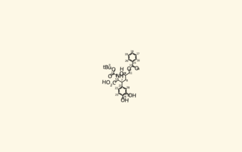 CC(C)(C)OC(=O)N[C@H](C(=O)O)C(CC(O)COC(=O)c1ccccc1)c1ccc(O)c(O)c1